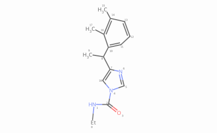 [CH2]CNC(=O)n1cnc(C(C)c2cccc(C)c2C)c1